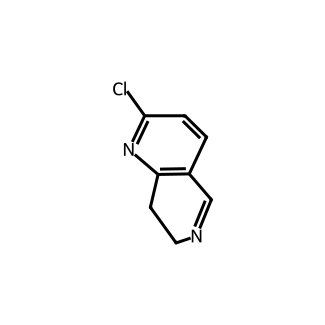 Clc1ccc2c(n1)CCN=C2